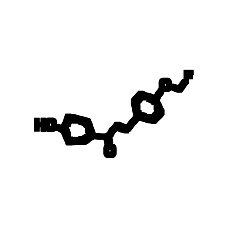 O=C(C=Cc1ccc(OCF)cc1)c1ccc(O)cc1